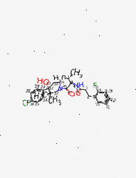 CC(C)[C@@H](NC(=O)CCc1ccccc1F)C(=O)N1CC[C@](O)(c2ccc(Cl)cc2)C(C)(C)C1